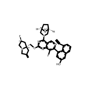 C#Cc1cccc2cc(O)cc(-c3ncc4c(N5C[C@H]6CC[C@@H](C5)N6)nc(OC[C@]56CC(=C)CN5C[C@@H](F)C6)nc4c3F)c12